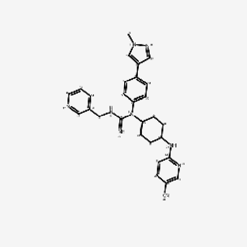 Cn1cc(-c2ccc(N(C(=N)NCc3cccnc3)C3CCC(Nc4ccc(C#N)cn4)CC3)cc2)cn1